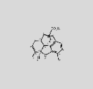 CCOC(=O)N1CC[C@]23c4c5ccc(C)c4O[C@H]2C(C)=CCC3C1C5